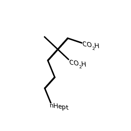 CCCCCCCCCCC(C)(CC(=O)O)C(=O)O